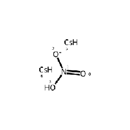 O=[N+]([O-])O.[CsH].[CsH]